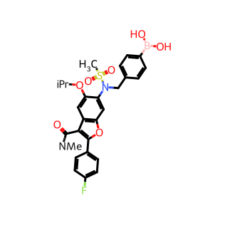 CNC(=O)c1c(-c2ccc(F)cc2)oc2cc(N(Cc3ccc(B(O)O)cc3)S(C)(=O)=O)c(OC(C)C)cc12